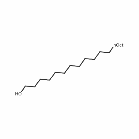 CCCCCCCCCCCCCCCC[CH]CCCO